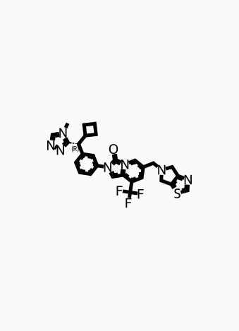 Cn1cnnc1[C@@H](c1cccc(-n2cc3c(C(F)(F)F)cc(CN4Cc5ncsc5C4)cn3c2=O)c1)C1CCC1